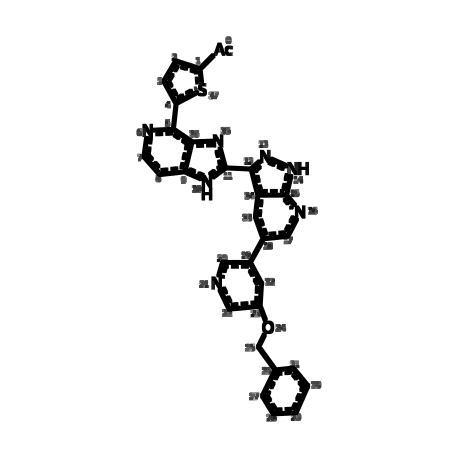 CC(=O)c1ccc(-c2nccc3[nH]c(-c4n[nH]c5ncc(-c6cncc(OCc7ccccc7)c6)cc45)nc23)s1